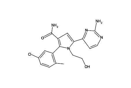 Cc1ccc(Cl)cc1-c1c(C(N)=O)cc(-c2ccnc(N)n2)n1CCO